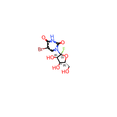 O=c1[nH]c(=O)n([C@]2(F)O[C@H](CO)[C@@H](O)[C@H]2O)cc1Br